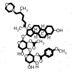 COc1ccc(C(=O)O[C@H]2[C@H](O[C@@H]3[C@@H](OC(C)=O)[C@H](O[C@H]4C[C@H]5[C@@H]6CC[C@H]7C[C@@H](O)CC[C@]7(C)[C@H]6CC[C@]5(C)[C@H]4[C@H](C)CCC[C@@H](C)CN4CCOCC4)OC[C@@H]3O)OC[C@@H](O)[C@@H]2O)cc1